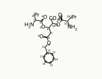 CC(C)C(N)C(=O)OC(CC(=O)OCc1ccccc1)C(OC(=O)C(N)C(C)C)C(=O)O